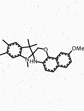 COc1ccc2ccc3c(c2c1)OCC1(N3)N(C)c2cc(C)c(C)cc2C1(C)C